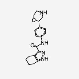 O=C(Nc1ccc([C@H]2CNCCO2)cc1)c1n[nH]c2c1CCCC2